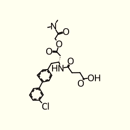 CN(C)C(=O)COC(=O)C[C@@H](Cc1ccc(-c2cccc(Cl)c2)cc1)NC(=O)CCC(=O)O